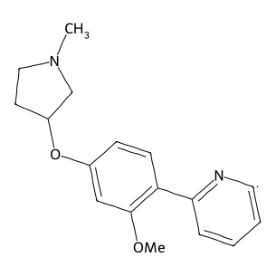 COc1cc(OC2CCN(C)C2)ccc1-c1ccc[c]n1